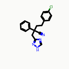 N#CC(CCc1ccc(Cl)cc1)(Cc1nc[nH]n1)c1ccccc1